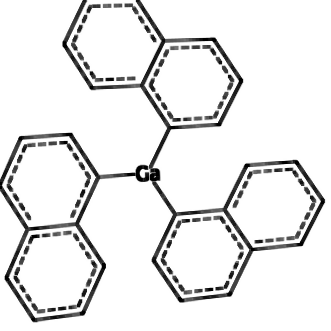 c1ccc2[c]([Ga]([c]3cccc4ccccc34)[c]3cccc4ccccc34)cccc2c1